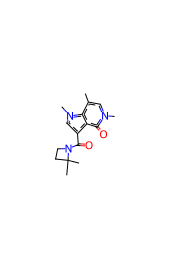 Cc1cn(C)c(=O)c2c(C(=O)N3CCC3(C)C)cn(C)c12